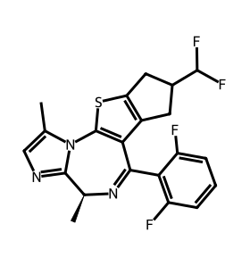 Cc1cnc2n1-c1sc3c(c1C(c1c(F)cccc1F)=N[C@H]2C)CC(C(F)F)C3